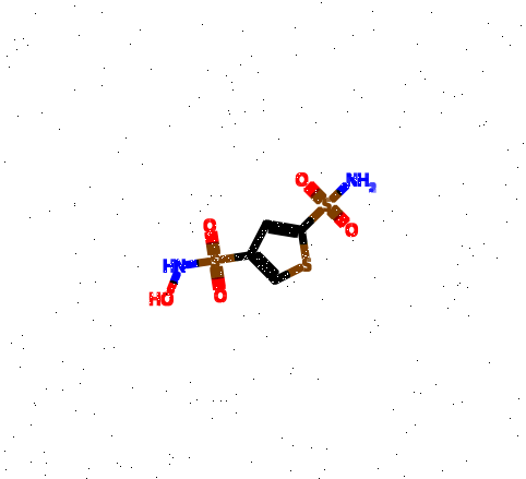 NS(=O)(=O)c1cc(S(=O)(=O)NO)cs1